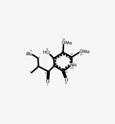 CCC(C)CC(C)C(=O)c1c(O)c(OC)c(OC)[nH]c1=O